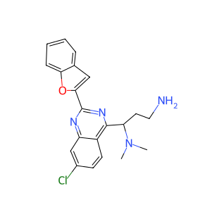 CN(C)C(CCN)c1nc(-c2cc3ccccc3o2)nc2cc(Cl)ccc12